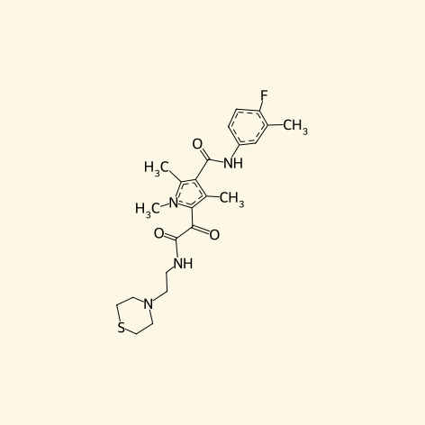 Cc1cc(NC(=O)c2c(C)c(C(=O)C(=O)NCCN3CCSCC3)n(C)c2C)ccc1F